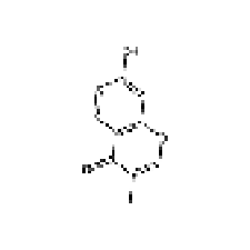 Cc1coc2cc(O)ccc2c1=O